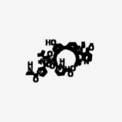 CCn1c(-c2cnccc2COC)c2c3cc(ccc31)-c1cc(O)cc(c1)C[C@H](NC(=O)[C@H](C(C)C)N(C)C(=O)[C@H]1CCN(C(=O)[C@H]3CN3)C1)C(=O)N1CCC[C@H](N1)C(=O)OCC(C)(C)C2